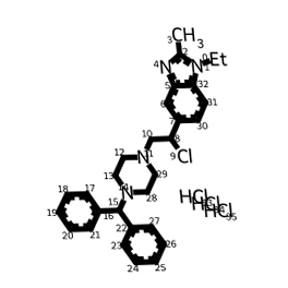 CCn1c(C)nc2cc(C(Cl)CN3CCN(C(c4ccccc4)c4ccccc4)CC3)ccc21.Cl.Cl.Cl